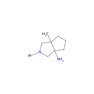 CC(C)N1CC2(C)CCCC2(N)C1